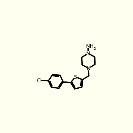 NN1CCN(Cc2ccc(-c3ccc(Cl)cc3)s2)CC1